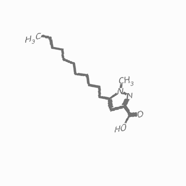 CCCCCCCCCCCc1cc(C(=O)O)nn1C